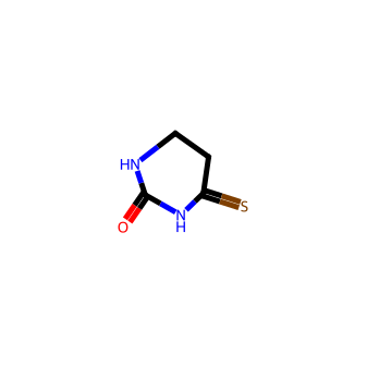 O=C1NCCC(=S)N1